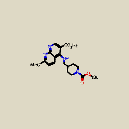 CCOC(=O)c1cnc2nc(OC)ccc2c1NCC1CCN(C(=O)OC(C)(C)C)CC1